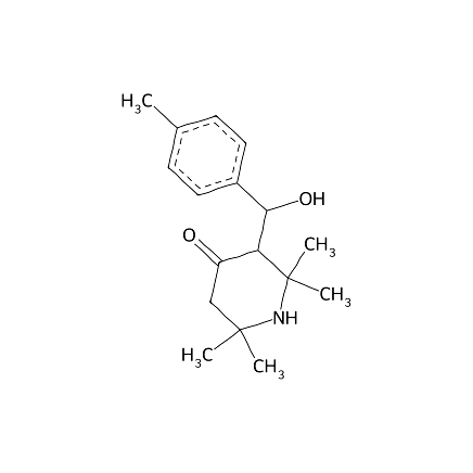 Cc1ccc(C(O)C2C(=O)CC(C)(C)NC2(C)C)cc1